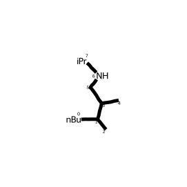 CCCCC(C)C(C)CNC(C)C